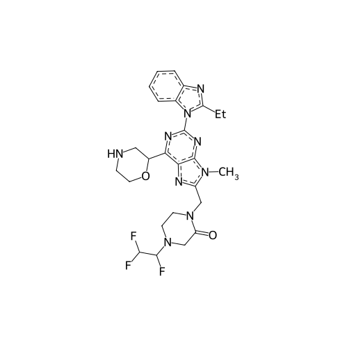 CCc1nc2ccccc2n1-c1nc(C2CNCCO2)c2nc(CN3CCN(C(F)C(F)F)CC3=O)n(C)c2n1